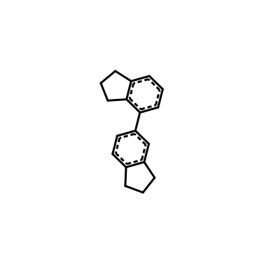 c1cc2c(c(-c3ccc4c(c3)CCC4)c1)CCC2